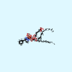 CCCCCCCCCCC(CCCCCCCC)COCC(COP(=O)([O-])OCC[n+]1cccc(-c2ccccc2)c1)OCCCCC(=O)O